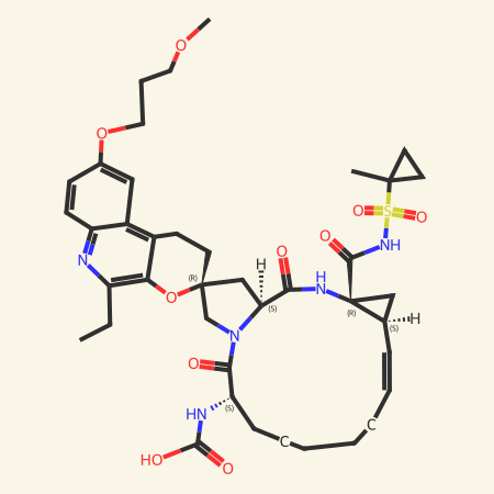 CCc1nc2ccc(OCCCOC)cc2c2c1O[C@]1(CC2)C[C@H]2C(=O)N[C@]3(C(=O)NS(=O)(=O)C4(C)CC4)C[C@H]3C=CCCCCC[C@H](NC(=O)O)C(=O)N2C1